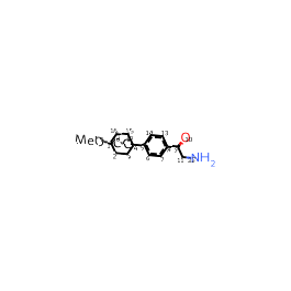 COC12CCC(c3ccc(C(=O)CN)cc3)(CC1)CC2